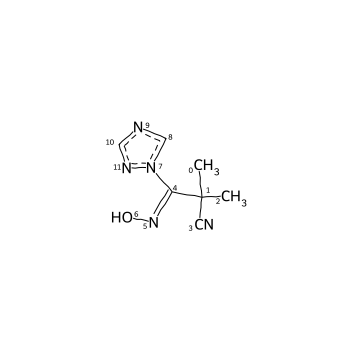 CC(C)(C#N)/C(=N/O)n1cncn1